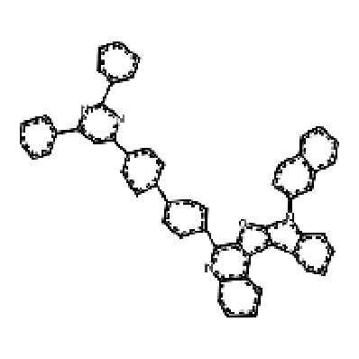 c1ccc(-c2cc(-c3ccc(-c4ccc(-c5nc6ccccc6c6c5oc5c6c6ccccc6n5-c5ccc6ccccc6c5)cc4)cc3)nc(-c3ccccc3)n2)cc1